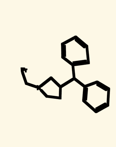 CC(C)CN1CCC(C(c2ccccc2)c2ccccc2)C1